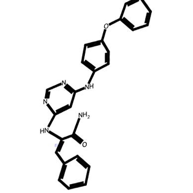 NC(=O)/C(=C\c1ccccc1)Nc1cc(Nc2ccc(Oc3ccccc3)cc2)ncn1